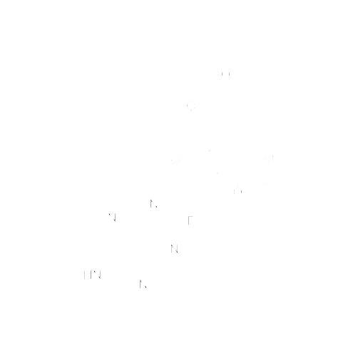 CC(=O)OC1(C)[C@@H](COC(=O)c2ccccc2)OC(n2cnc3c(NC4CCC4)ncnc32)[C@]1(C)F